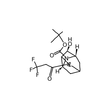 CC(C)(C)OC(=O)N1[C@@H]2CC3C[C@H]1[C@H](O)C2N(C(=O)CC(F)(F)F)C3